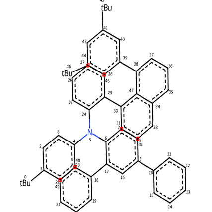 CC(C)(C)c1ccc(N(c2ccc(-c3ccccc3)cc2-c2ccccc2)c2ccccc2-c2cccc3cccc(-c4cc(C(C)(C)C)cc(C(C)(C)C)c4)c23)cc1